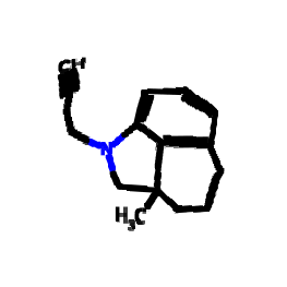 C#CCN1CC2(C)CCCc3cccc1c32